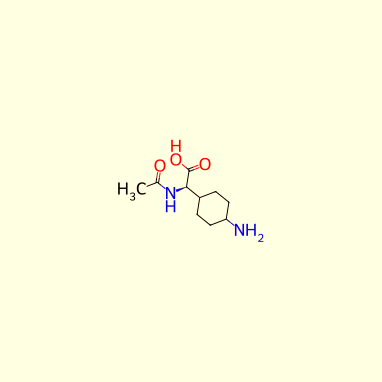 CC(=O)N[C@@H](C(=O)O)C1CCC(N)CC1